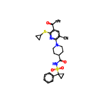 CCCC(=O)c1cc(C#N)c(N2CCC(C(=O)NS(=O)(=O)C3(c4ccccc4)CC3)CC2)nc1SC1CC1